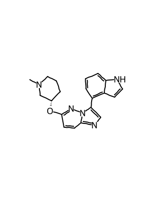 CN1CCC[C@H](Oc2ccc3ncc(-c4cccc5[nH]ccc45)n3n2)C1